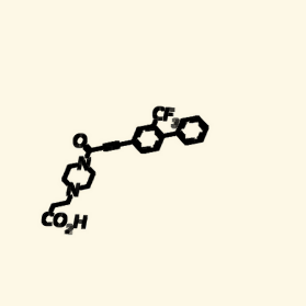 O=C(O)CCN1CCN(C(=O)C#Cc2ccc(-c3ccccc3)c(C(F)(F)F)c2)CC1